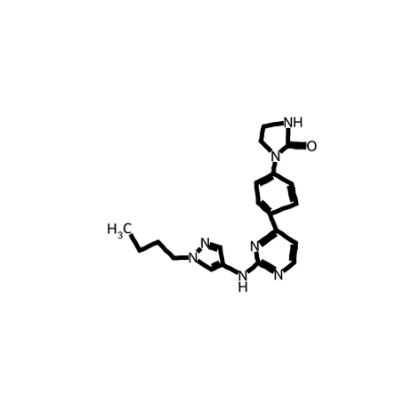 CCCCn1cc(Nc2nccc(-c3ccc(N4CCNC4=O)cc3)n2)cn1